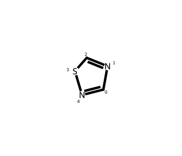 c1ncsn1